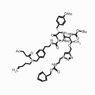 C=CCCCN(Cc1ccc(CCNC(=O)N(CCCCC)C(=O)[C@H](Cc2ccc(OC)cc2)NC(=O)[C@@H](NC(=O)OC(C)(C)C)[C@@H](C)OCc2cn(CCNC(=O)OCc3ccccc3)nn2)cc1)C(=O)CCC(C)=O